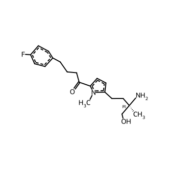 Cn1c(CC[C@@](C)(N)CO)ccc1C(=O)CCCc1ccc(F)cc1